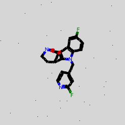 Fc1ccc2c(c1)c1c(n2Cc2ccnc(F)c2)C2CCN(CC2)C1